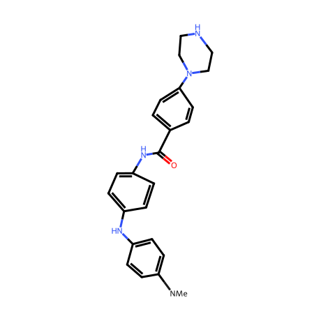 CNc1ccc(Nc2ccc(NC(=O)c3ccc(N4CCNCC4)cc3)cc2)cc1